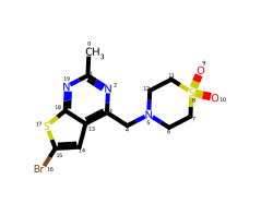 Cc1nc(CN2CCS(=O)(=O)CC2)c2cc(Br)sc2n1